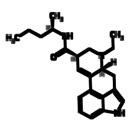 CCC[C@@H](C)NC(=O)[C@@H]1C=C2c3cccc4[nH]cc(c34)C[C@H]2N(CC)C1